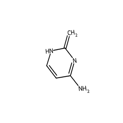 C=C1N=C(N)C=CN1